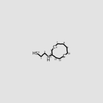 SCCNC1CCCCCCCCC1